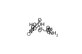 C/C(=C\C=C\[C@@H](C)COC(=O)N1CCC[C@@H]1C(N)=O)[C@@H](C=O)[C@@H](C)/C=C/[C@H](OC(=O)N1CCN(C2CCCCCC2)CC1)[C@@](C)(O)CC[C@H](O)CC=O